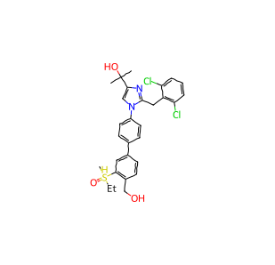 CC[SH](C)(=O)c1cc(-c2ccc(-n3cc(C(C)(C)O)nc3Cc3c(Cl)cccc3Cl)cc2)ccc1CO